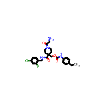 CCc1ccc(NC(=O)OCC2(C(=O)NCc3ccc(Cl)cc3F)CCN(C(=O)CN)CC2)cc1